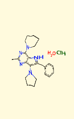 Cc1nc(N2CCCCC2)c2[nH]c(-c3ccccc3)c(N3CCCC3)c2n1.Cl.O